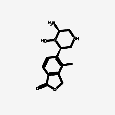 Cc1c([C@@H]2CNC[C@H](N)N2O)ccc2c1COC2=O